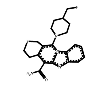 NC(=O)c1c2c(c(N3CCC(CF)CC3)n3c1nc1ccccc13)CSCC2